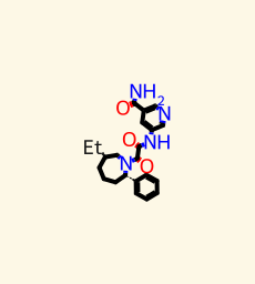 CC[C@@H]1CCC[C@@H](c2ccccc2)N(C(=O)C(=O)Nc2cncc(C(N)=O)c2)C1